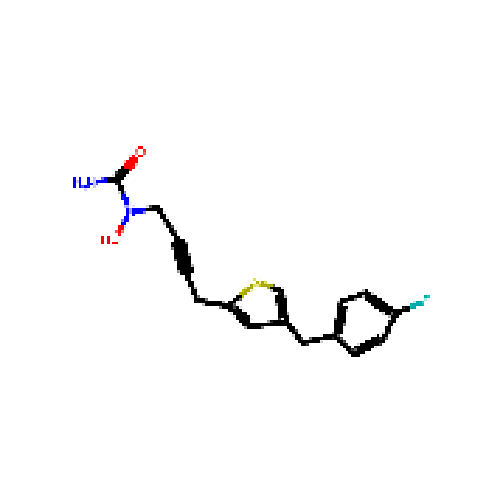 NC(=O)N(O)CC#CCc1cc(Cc2ccc(F)cc2)cs1